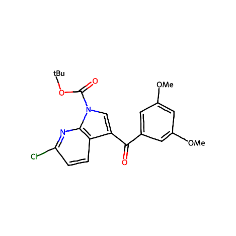 COc1cc(OC)cc(C(=O)c2cn(C(=O)OC(C)(C)C)c3nc(Cl)ccc23)c1